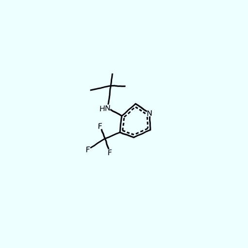 CC(C)(C)Nc1cnccc1C(F)(F)F